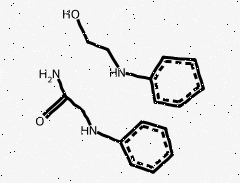 NC(=O)CNc1ccccc1.OCCNc1ccccc1